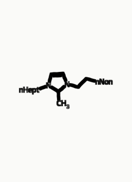 CCCCCCCCCCCN1C=CN(CCCCCCC)C1C